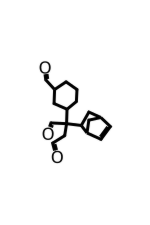 O=CCC(C=O)(C1CCCC(C=O)C1)C1CC2C=CC1C2